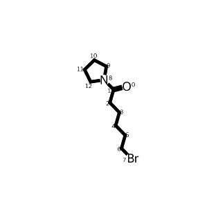 O=C(CCCCCBr)N1CCCC1